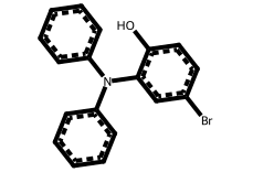 Oc1ccc(Br)cc1N(c1ccccc1)c1ccccc1